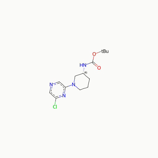 CC(C)(C)OC(=O)N[C@@H]1CCCN(c2cncc(Cl)n2)C1